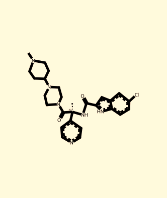 CN1CCC(N2CCN(C(=O)[C@@](C)(NC(=O)c3cc4cc(Cl)ccc4[nH]3)c3ccncc3)CC2)CC1